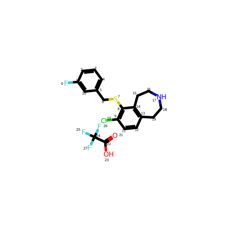 Fc1cccc(CSc2c(Cl)ccc3c2CCNCC3)c1.O=C(O)C(F)(F)F